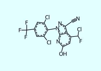 N#Cc1nn(-c2c(Cl)cc(C(F)(F)F)cc2Cl)c2nc(O)cc(C(F)Cl)c12